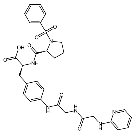 O=C(CNc1ccccn1)NCC(=O)Nc1ccc(C[C@H](NC(=O)[C@@H]2CCCN2S(=O)(=O)c2ccccc2)C(=O)O)cc1